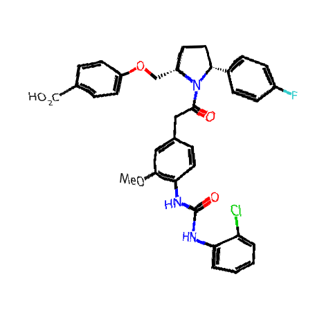 COc1cc(CC(=O)N2[C@H](COc3ccc(C(=O)O)cc3)CC[C@@H]2c2ccc(F)cc2)ccc1NC(=O)Nc1ccccc1Cl